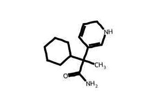 CC(C(N)=O)(C1=CNCC=C1)C1CCCCC1